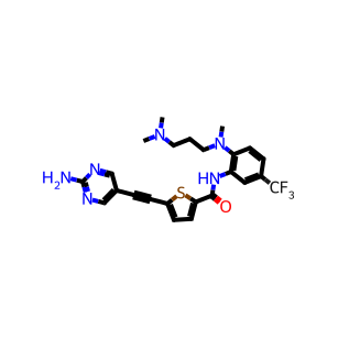 CN(C)CCCN(C)c1ccc(C(F)(F)F)cc1NC(=O)c1ccc(C#Cc2cnc(N)nc2)s1